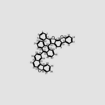 c1ccc(-c2oc3c(ccc4c5ccccc5oc43)c2-c2c3ccccc3c(-c3ccc4ccc5oc6ccccc6c5c4c3)c3ccccc23)cc1